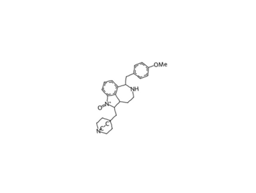 COc1ccc(CC2NCCC3c4c2cccc4[N+](=O)C3CC23CCN(CC2)CC3)cc1